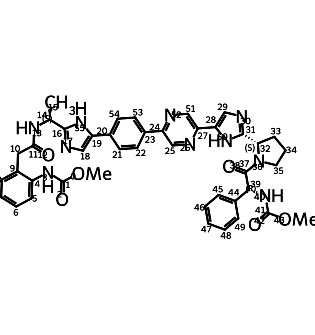 COC(=O)Nc1ccccc1CC(=O)N[C@@H](C)c1ncc(-c2ccc(-c3cnc(-c4cnc([C@@H]5CCCN5C(=O)[C@H](NC(=O)OC)c5ccccc5)[nH]4)cn3)cc2)[nH]1